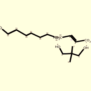 CC(C)(CO)CO.O=C(O)/C=C/C(=O)O.OCCCCCCO